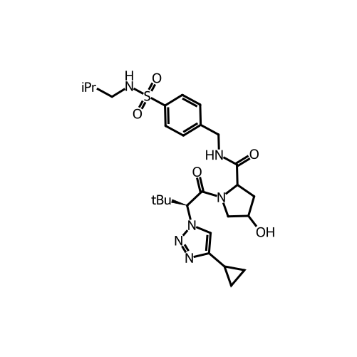 CC(C)CNS(=O)(=O)c1ccc(CNC(=O)C2CC(O)CN2C(=O)[C@@H](n2cc(C3CC3)nn2)C(C)(C)C)cc1